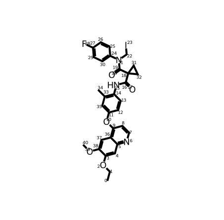 CCOc1cc2nccc(Oc3ccc(NC(=O)C4(C(=O)N(CI)c5ccc(F)cc5)CC4)c(C)c3)c2cc1OC